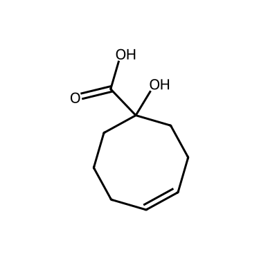 O=C(O)C1(O)CC/C=C\CCC1